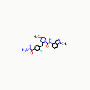 CN1CCN(C(=O)Nc2cccc3c2cnn3C)C(Cc2ccc(C(=O)NN)cc2F)C1